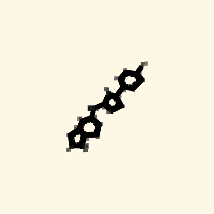 Fc1ccc(-c2cnc(Nc3ccc4[nH]ncc4c3)o2)cc1